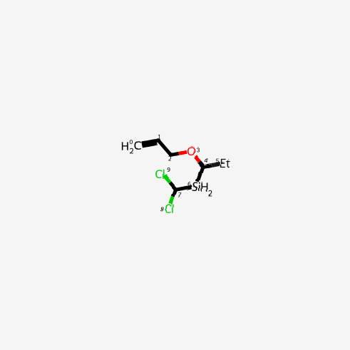 C=CCOC(CC)[SiH2]C(Cl)Cl